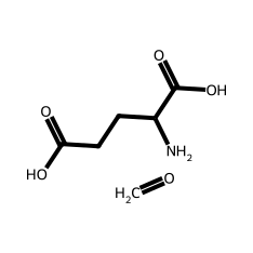 C=O.NC(CCC(=O)O)C(=O)O